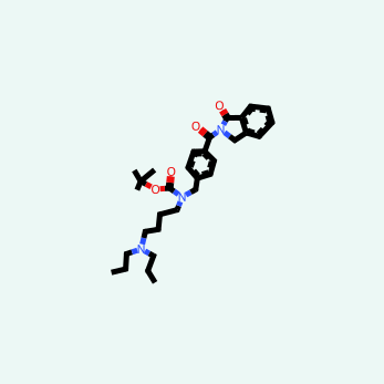 CCCN(CCC)CCCCN(Cc1ccc(C(=O)N2Cc3ccccc3C2=O)cc1)C(=O)OC(C)(C)C